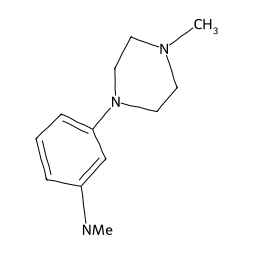 CNc1cccc(N2CCN(C)CC2)c1